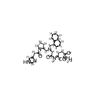 CN(C(=O)CN(Cc1cccc2ccccc12)CC1CCCN1C(=O)Cc1c[nH]cn1)[C@@H](CCC(N)=O)C(=O)O